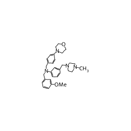 COc1cccc(CN(Cc2ccc(N3CCOCC3)cc2)c2cccc(CN3CCN(C)CC3)c2)c1